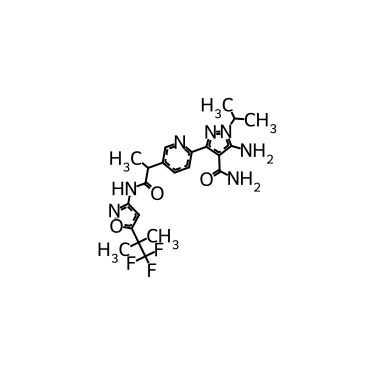 CC(C(=O)Nc1cc(C(C)(C)C(F)(F)F)on1)c1ccc(-c2nn(C(C)C)c(N)c2C(N)=O)nc1